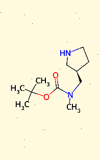 CN(C[C@@H]1CCNC1)C(=O)OC(C)(C)C